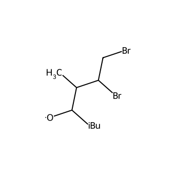 CCC(C)C([O])C(C)C(Br)CBr